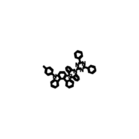 Cc1ccc(-n2c3ccccc3c3c4c(ccc32)[Si]2(c3ccccc3-4)c3ccccc3N(c3nc(-c4ccccc4)nc(-c4ccccc4)n3)c3ccccc32)cc1